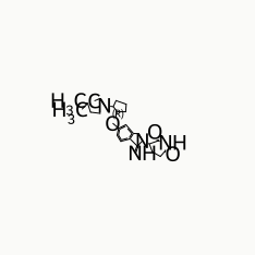 CC1(C)CCN(C2CCC[C@H]2Oc2ccc3c(c2)CN(C2CCC(=O)NC2=O)C3=N)CC1